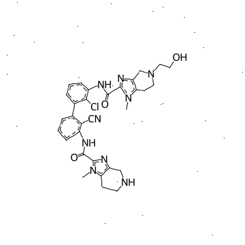 Cn1c(C(=O)Nc2cccc(-c3cccc(NC(=O)c4nc5c(n4C)CCNC5)c3C#N)c2Cl)nc2c1CCN(CCO)C2